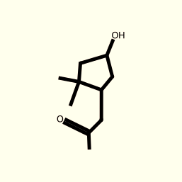 CC(=O)CC1CC(O)CC1(C)C